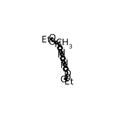 CCC(=O)OCCN(C)c1ccc(N=Nc2ccc(N=Nc3ccc(OCOC(=O)CC)cc3)cc2)cc1